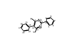 Cc1nc(-c2ccccc2)nc(C)c1-c1ccccc1